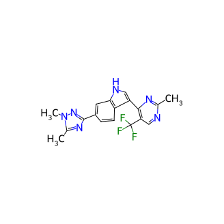 Cc1ncc(C(F)(F)F)c(-c2c[nH]c3cc(-c4nc(C)n(C)n4)ccc23)n1